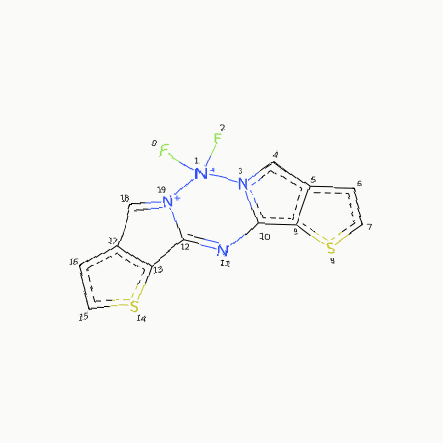 F[N+]1(F)n2cc3ccsc3c2N=C2c3sccc3C=[N+]21